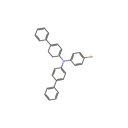 Brc1ccc(N(C2=CC=C(c3ccccc3)CC2)c2ccc(-c3ccccc3)cc2)cc1